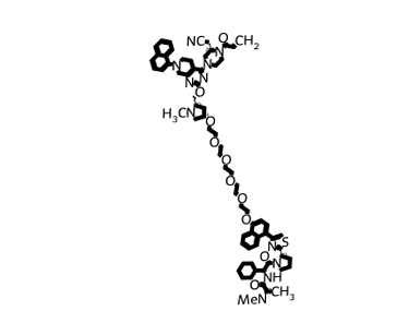 C=CC(=O)N1CCN(c2nc(OC[C@@H]3C[C@@H](OCCOCCOCCOCCOCCOc4ccc(-c5csc([C@@H]6CCCN6C(=O)C(NC(=O)[C@H](C)NC)C6CCCCC6)n5)c5ccccc45)CN3C)nc3c2CCN(c2cccc4ccccc24)C3)C[C@@H]1CC#N